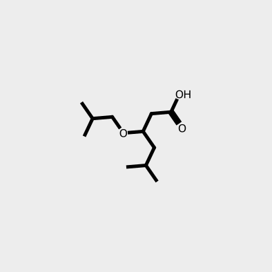 CC(C)COC(CC(=O)O)CC(C)C